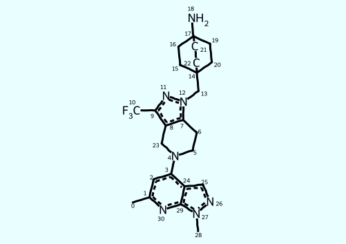 Cc1cc(N2CCc3c(c(C(F)(F)F)nn3CC34CCC(N)(CC3)CC4)C2)c2cnn(C)c2n1